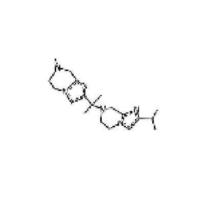 CC(C)c1cn2c(n1)CN(C(C)(C)c1cn3c(n1)CN(C)CC3)CC2